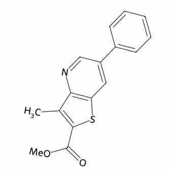 COC(=O)c1sc2cc(-c3ccccc3)cnc2c1C